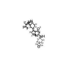 COc1nc(NC2CCC3(CC2)COC3)nn2ccc(-c3ccc4nnn([C@H](C)C(F)F)c4c3)c12